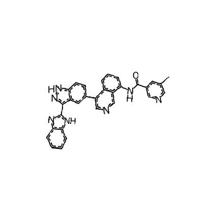 Cc1cncc(C(=O)Nc2cccc3c(-c4ccc5[nH]nc(-c6nc7ccccc7[nH]6)c5c4)cncc23)c1